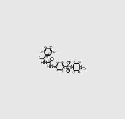 CC(NC(=O)Nc1ccc(S(=O)(=O)N2CCN(C)CC2)cc1)c1ccccc1